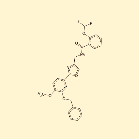 COc1ccc(-c2nc(CNC(=O)c3ccccc3OC(F)F)co2)cc1OCc1ccccc1